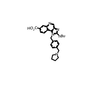 CCCCc1nc2cnc3cc(C(=O)O)ccc3c2n1Cc1ccc(CN2CCCC2)cc1